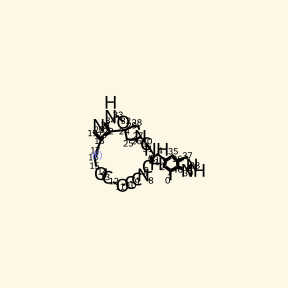 Cc1cc(C[C@@H]2CN(C)CCOCCOC/C=C/c3cnc4c(c3)C3(CCN(CC3)CN2)OCN4)cc2cn[nH]c12